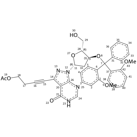 COc1ccccc1C(O[C@H]1C[C@H](n2nc(C#CCCOC(C)=O)c3c(=O)[nH]cnc32)O[C@@H]1CO)(c1ccccc1)c1ccccc1OC